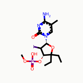 CCC1(CC)O[C@@H](n2cc(C)c(N)nc2=O)C(I)[C@H]1OP(=O)(O)OC